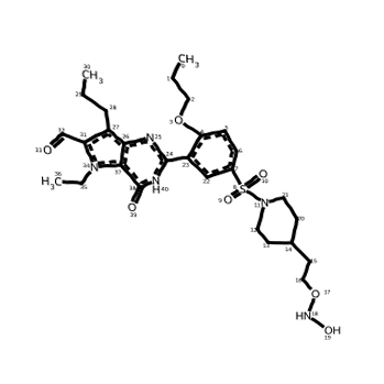 CCCOc1ccc(S(=O)(=O)N2CCC(CCONO)CC2)cc1-c1nc2c(CCC)c(C=O)n(CC)c2c(=O)[nH]1